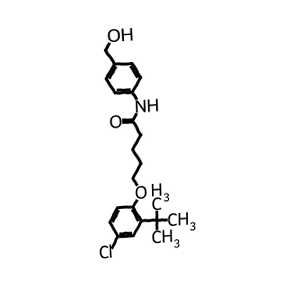 CC(C)(C)c1cc(Cl)ccc1OCCCCC(=O)Nc1ccc(CO)cc1